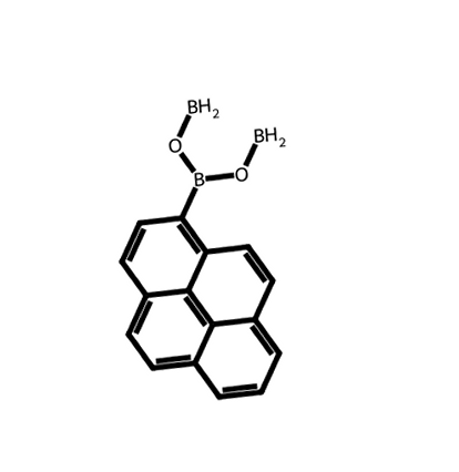 BOB(OB)c1ccc2ccc3cccc4ccc1c2c34